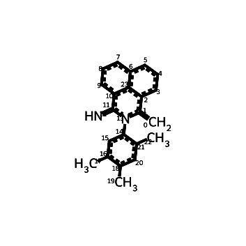 C=c1c2cccc3cccc(c(=N)n1-c1cc(C)c(C)cc1C)c32